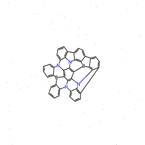 c1ccc2c(c1)B1c3ccccc3-n3c4cccc5c6ccc7c8c6n(c6c9c%10c(c1c63)n-2c1cccc2c3ccc-7c(c3n%10c21)B89)c54